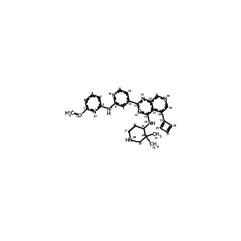 COc1cccc(Nc2cc(-c3nc(NC4CCNCC4(C)C)c4c(C5=CC=C5)cncc4n3)ccn2)n1